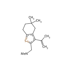 C=C(C)c1c(CNC)sc2c1CC(C)(C)CC2